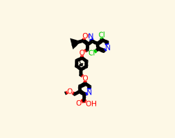 COCc1cc(OCC23CCC(OCc4c(-c5c(Cl)cncc5Cl)noc4C4CC4)(CC2)CC3)cnc1C(=O)O